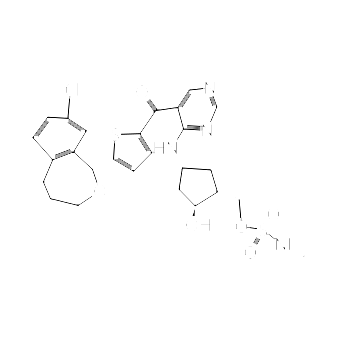 NS(=O)(=O)OC[C@H]1C[C@@H](Nc2ncncc2C(=O)c2ccc([C@@H]3OCCCc4ccc(Cl)cc43)s2)C[C@@H]1O